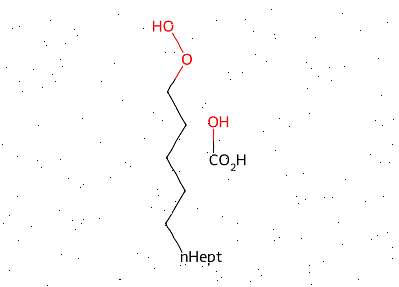 CCCCCCCCCCCCOO.O=C(O)O